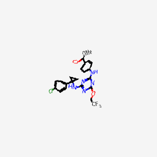 COC(=O)c1ccc(Nc2nc(NC3(c4ccc(Cl)cc4)CC3)nc(OCC(F)(F)F)n2)cc1